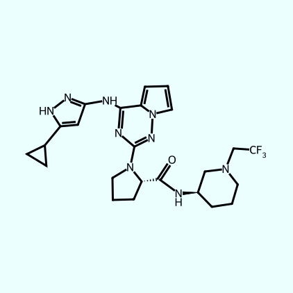 O=C(N[C@@H]1CCCN(CC(F)(F)F)C1)[C@@H]1CCCN1c1nc(Nc2cc(C3CC3)[nH]n2)c2cccn2n1